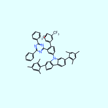 Cc1cc(C)c(-c2ccc3c4ccc(-c5c(C)cc(C)cc5C)cc4n(-c4ccc(-c5cc(C(F)(F)F)cc(C(F)(F)F)c5)c(-c5nc(-c6ccccc6)nc(-c6ccccc6)n5)c4)c3c2)c(C)c1